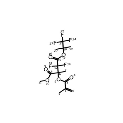 C=C(C)C(=O)OC(C)(C(=O)OC)C(F)(F)C(=O)OC(C)(C)C(F)(F)F